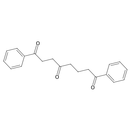 O=C(CCCC(=O)c1ccccc1)CCC(=O)c1ccccc1